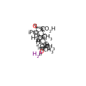 CC(C)C1=C2[C@H]3CC[C@@H]4[C@@]5(C)CC[C@H](OP)C(C)(C)[C@@H]5CC[C@@]4(C)[C@]3(C)CC[C@@]2(C(=O)O)CC1=O